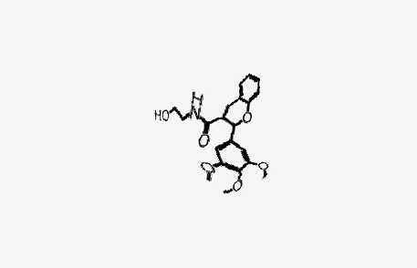 COc1cc(C2Oc3ccccc3CC2C(=O)NCCO)cc(OC)c1OC